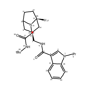 CC(C)n1cc(C(=O)NC[C@H]2CC3CC[C@H](C2)N3CC(=O)NC(C)(C)C)c2ccccc21